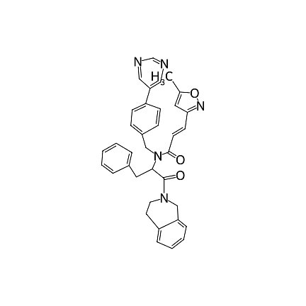 Cc1cc(C=CC(=O)N(Cc2ccc(-c3cncnc3)cc2)C(Cc2ccccc2)C(=O)N2CCc3ccccc3C2)no1